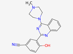 CN1CCN(c2nc(-c3cc(C#N)ccc3O)nc3ccccc23)CC1